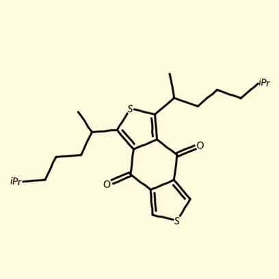 CC(C)CCCC(C)c1sc(C(C)CCCC(C)C)c2c1C(=O)c1cscc1C2=O